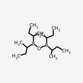 CCC(C)B(OB(C(C)CC)C(C)CC)C(C)CC